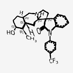 C[C@@H]1[C@H]2C[C@@H]3N(CC[C@@]34C(=O)N(c3ccc(C(F)(F)F)cc3)c3ccccc34)C[C@@H]2CC[C@@H]1O